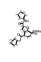 COc1ccc(C(=O)Cc2ccncc2)c2cc(C(=O)Nc3ccccc3)oc12.Cl